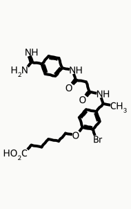 CC(NC(=O)CC(=O)Nc1ccc(C(=N)N)cc1)c1ccc(OCCCCCC(=O)O)c(Br)c1